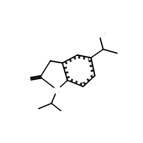 CC(S)c1ccc2c(c1)CC(=O)N2C(C)C